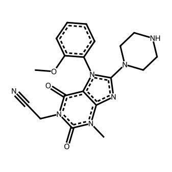 COc1ccccc1-n1c(N2CCNCC2)nc2c1c(=O)n(CC#N)c(=O)n2C